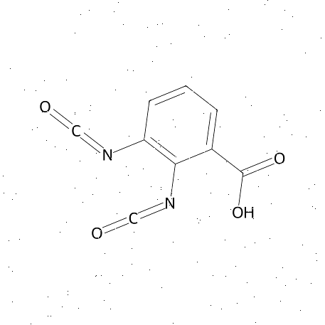 O=C=Nc1cccc(C(=O)O)c1N=C=O